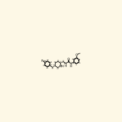 COc1cccc(NC(=O)NC[C@@H]2CC[C@H](Cc3ccc(F)cc3)CN2)c1